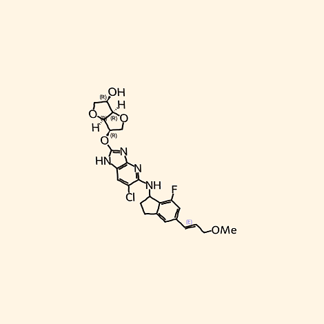 COC/C=C/c1cc(F)c2c(c1)CCC2Nc1nc2nc(O[C@@H]3CO[C@H]4[C@@H]3OC[C@H]4O)[nH]c2cc1Cl